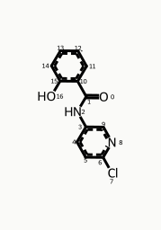 O=C(Nc1ccc(Cl)nc1)c1c[c]ccc1O